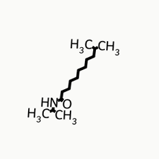 CC(C)CCCCCCCCC(=O)NC(C)C